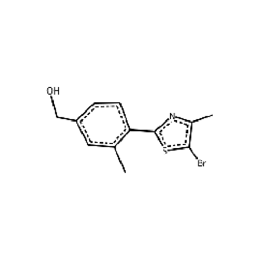 Cc1cc(CO)ccc1-c1nc(C)c(Br)s1